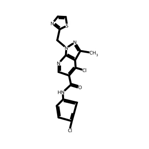 Cc1nn(Cc2nccs2)c2ncc(C(=O)Nc3ccc(Cl)cc3)c(Cl)c12